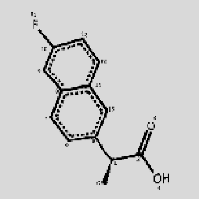 C[C@H](C(=O)O)c1ccc2cc(F)ccc2c1